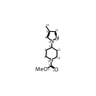 COC(=O)N1CCC(n2cc(C)cn2)CC1